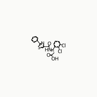 O=C(O)C[C@H](NC(=O)c1csc(-c2ccccc2)n1)c1cccc(Cl)c1Cl